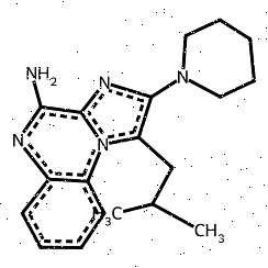 CC(C)Cc1c(N2CCCCC2)nc2c(N)nc3ccccc3n12